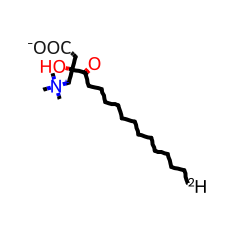 [2H]CCCCCCCCCCCCCC(=O)C(O)(CC(=O)[O-])C[N+](C)(C)C